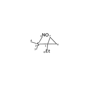 CCC1(S(C)(C)N=O)CC1